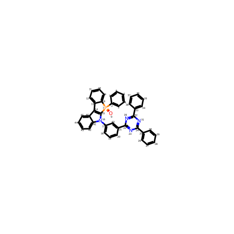 O=P1(c2ccccc2)c2ccccc2-c2c1n(-c1cccc(-c3nc(-c4ccccc4)nc(-c4ccccc4)n3)c1)c1ccccc21